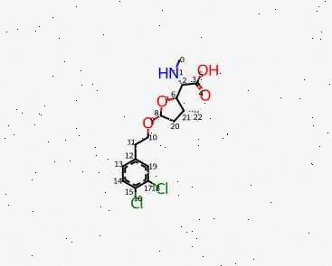 CN[C@H](C(=O)O)[C@@H]1O[C@H](OCCc2ccc(Cl)c(Cl)c2)C[C@H]1C